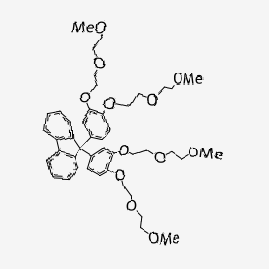 COCCOCCOc1ccc(C2(c3ccc(OCCOCCOC)c(OCCOCCOC)c3)c3ccccc3-c3ccccc32)cc1OCCOCCOC